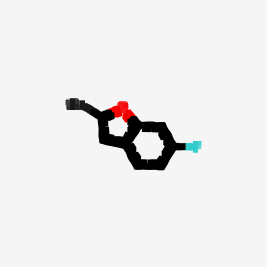 CC(C)(C)c1cc2ccc(F)cc2o1